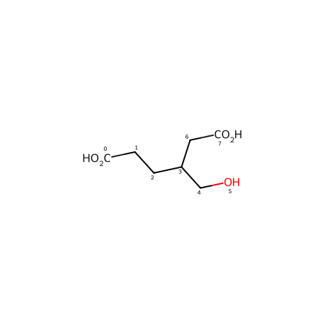 O=C(O)CCC(CO)CC(=O)O